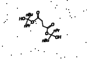 CCCCC(O)(CCC)OC(=O)CCC(=O)OC(O)(CCC)CCCC